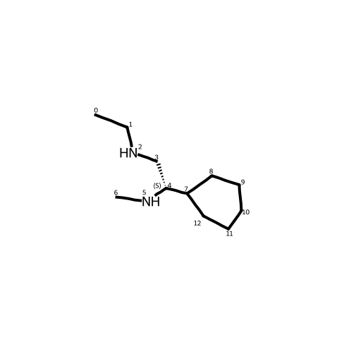 CCNC[C@@H](NC)C1CCCCC1